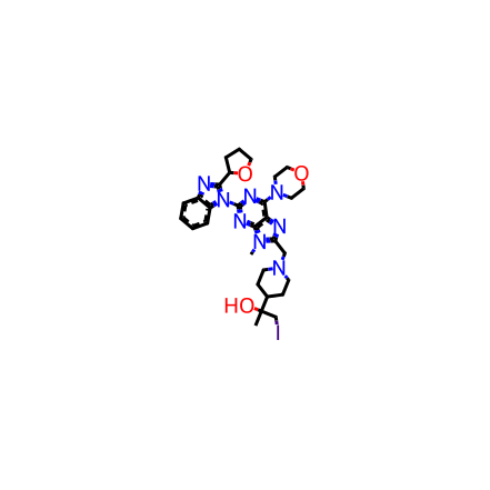 Cn1c(CN2CCC(C(C)(O)CI)CC2)nc2c(N3CCOCC3)nc(-n3c(C4CCCO4)nc4ccccc43)nc21